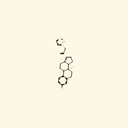 C[C@]12CC[C@@H]3c4ccc(O)cc4CC[C@H]3[C@@H]1CC[C@@H]2C(=O)Cn1ccnn1